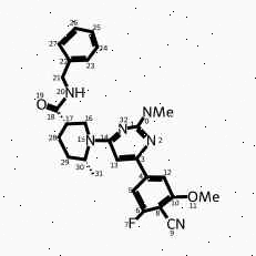 CNc1nc(-c2cc(F)c(C#N)c(OC)c2)cc(N2C[C@@H](C(=O)NCc3ccccc3)CC[C@H]2C)n1